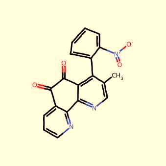 Cc1cnc2c(c1-c1ccccc1[N+](=O)[O-])C(=O)C(=O)c1cccnc1-2